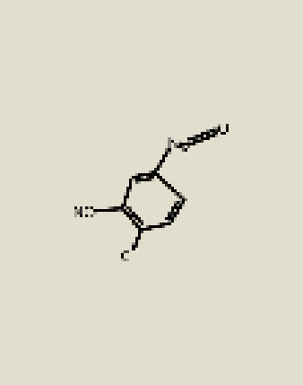 N#Cc1cc(N=C=O)ccc1Cl